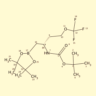 CC(C)(C)OC(=O)N[C@@H](CCOC(F)(F)F)CB1OC(C)(C)C(C)(C)O1